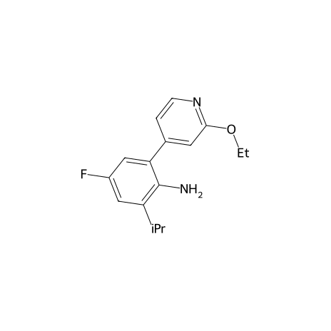 CCOc1cc(-c2cc(F)cc(C(C)C)c2N)ccn1